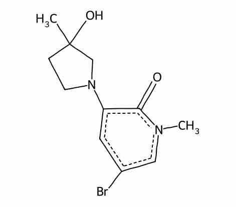 Cn1cc(Br)cc(N2CCC(C)(O)C2)c1=O